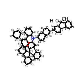 CC1(C)c2ccccc2-c2ccc(-c3ccc4cc(N(c5ccc6c(c5)-c5ccccc5C65c6ccccc6-c6ccccc65)c5cccc(-c6ccccc6)c5-c5ccccc5)ccc4c3)cc21